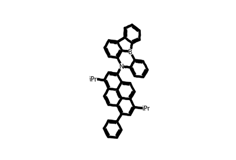 CC(C)c1cc(-c2ccccc2)c2ccc3c(C(C)C)cc(N4c5ccccc5B5c6ccccc6-c6cccc4c65)c4ccc1c2c34